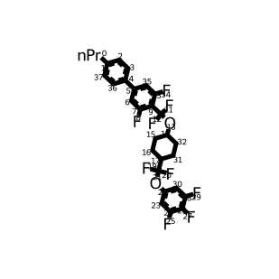 CCCc1ccc(-c2cc(F)c(C(F)(F)OC3CCC(C(F)(F)Oc4cc(F)c(F)c(F)c4)CC3)c(F)c2)cc1